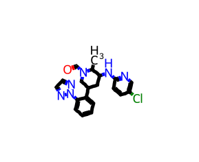 CC1C(Nc2ccc(Cl)cn2)CC(c2ccccc2-n2nccn2)CN1C=O